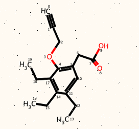 C#CCOc1c(CC(=O)O)cc(CC)c(CC)c1CC